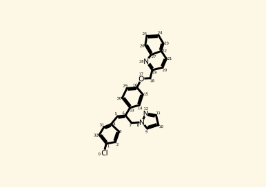 Clc1ccc(C=C(Cn2cccn2)c2ccc(OCc3ccc4ccccc4n3)cc2)cc1